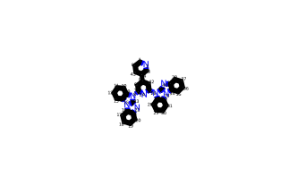 c1cncc(-c2cc(-n3c4ccccc4n4c5ccccc5nc34)nc(-n3c4ccccc4n4c5ccccc5nc34)c2)c1